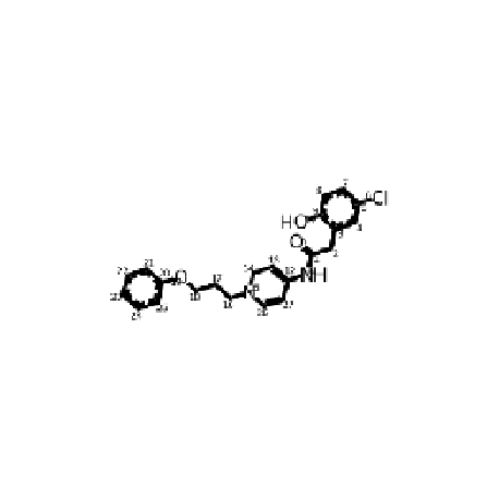 O=C(Cc1cc(Cl)ccc1O)NC1=CCN(CCCOc2ccccc2)C=C1